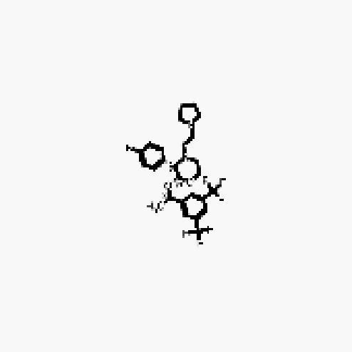 C[C@@H](O[C@H]1OCCN(CCN2CCCC2)[C@H]1c1ccc(F)cc1)c1cc(C(F)(F)F)cc(C(F)(F)F)c1